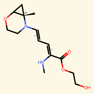 CN/C(=C\C=C\N1CCOC2C[C@@]21C)C(=O)OCCO